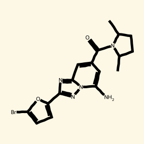 CC1CCC(C)N1C(=O)c1cc(N)n2nc(-c3ccc(Br)o3)nc2c1